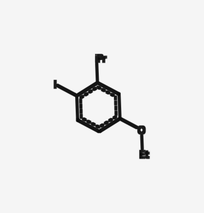 [CH2]C(C)c1cc(OCC)ccc1I